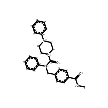 COC(=O)c1ccc(CN(C(=O)N2CCN(c3ccccc3)CC2)c2ccccc2)cc1